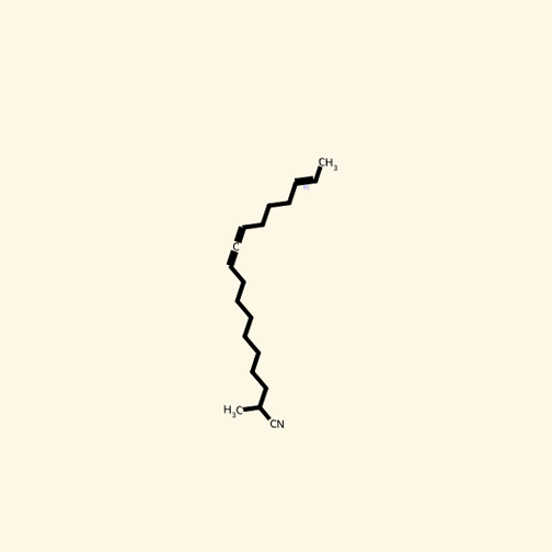 C/C=C/CCCC=C=CCCCCCCCC(C)C#N